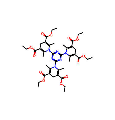 CCOC(=O)C1=C(C)N(c2nc(N3C(C)=C(C(=O)OCC)CC(C(=O)OCC)=C3C)nc(N3C(C)=C(C(=O)OCC)CC(C(=O)OCC)=C3C)n2)C(C)=C(C(=O)OCC)C1